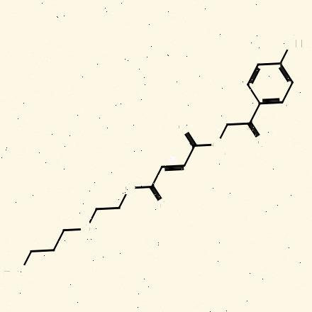 CCCCOCCOC(=O)/C=C/C(=O)OCC(=O)c1ccc(C)cc1